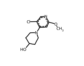 COc1cc(N2CCC(O)CC2)c(Cl)cn1